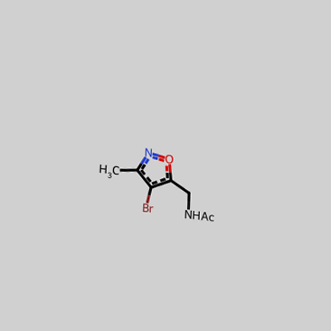 CC(=O)NCc1onc(C)c1Br